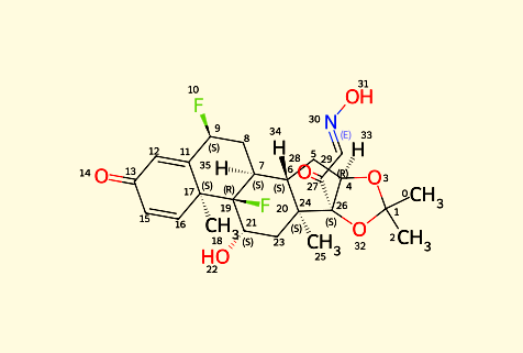 CC1(C)O[C@@H]2C[C@H]3[C@@H]4C[C@H](F)C5=CC(=O)C=C[C@]5(C)[C@@]4(F)[C@@H](O)C[C@]3(C)[C@]2(C(=O)/C=N/O)O1